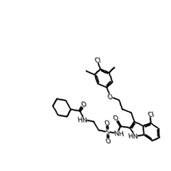 Cc1cc(OCCCc2c(C(=O)NS(=O)(=O)CCNC(=O)C3CCCCC3)[nH]c3cccc(Cl)c23)cc(C)c1Cl